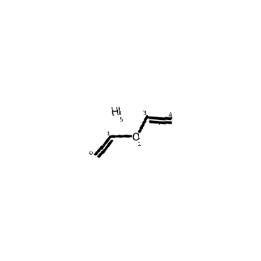 C=COC=C.I